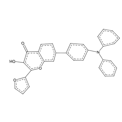 O=c1c(O)c(-c2ccco2)oc2cc(-c3ccc(N(c4ccccc4)c4ccccc4)cc3)ccc12